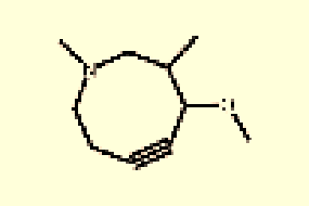 COC1C#CCCN(C)CC1C